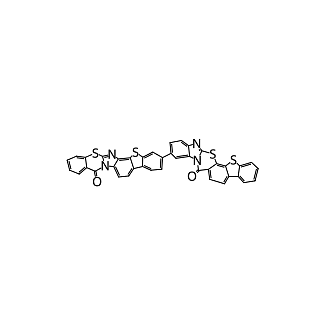 O=c1c2ccc3c4ccccc4sc3c2sc2nc3ccc(-c4ccc5c(c4)sc4c5ccc5c4nc4sc6ccccc6c(=O)n45)cc3n12